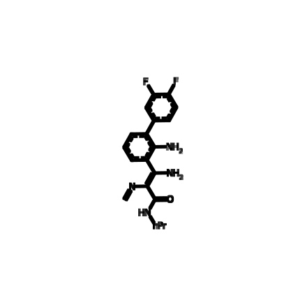 C=N/C(C(=O)NCCC)=C(/N)c1cccc(-c2ccc(F)c(F)c2)c1N